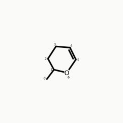 CC1CCC=CO1